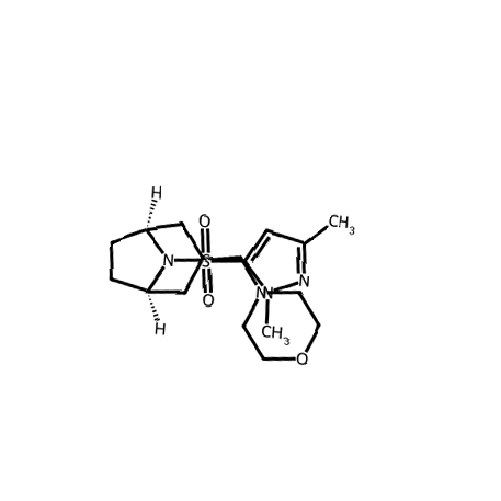 Cc1cc(S(=O)(=O)N2[C@@H]3CC[C@H]2C[C@@H](CN2CCOCC2)C3)n(C)n1